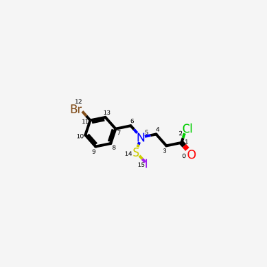 O=C(Cl)CCN(Cc1cccc(Br)c1)SI